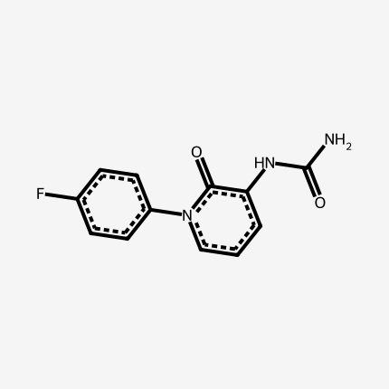 NC(=O)Nc1cccn(-c2ccc(F)cc2)c1=O